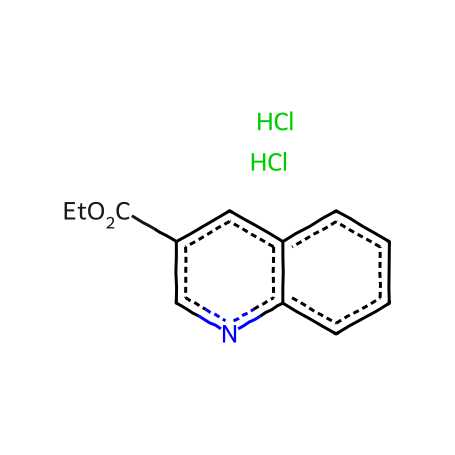 CCOC(=O)c1cnc2ccccc2c1.Cl.Cl